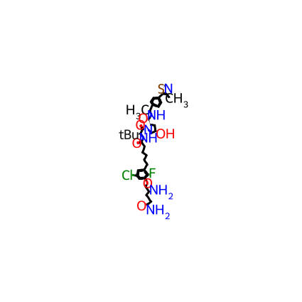 Cc1ncsc1-c1ccc([C@H](C)NC(=O)[C@@H]2C[C@@H](O)CN2C(=O)[C@@H](NC(=O)CCCCCc2cc(Cl)cc(OC[C@@H](N)CCC(N)=O)c2F)C(C)(C)C)cc1